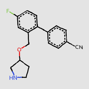 N#Cc1ccc(-c2ccc(F)cc2COC2CCNC2)cc1